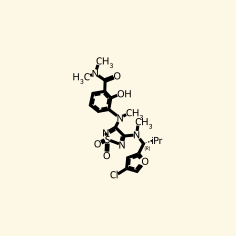 CC(C)[C@H](c1cc(Cl)co1)N(C)C1=NS(=O)(=O)N=C1N(C)c1cccc(C(=O)N(C)C)c1O